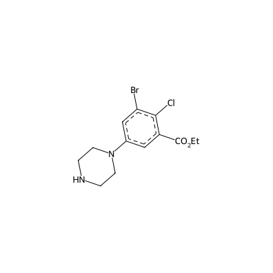 CCOC(=O)c1cc(N2CCNCC2)cc(Br)c1Cl